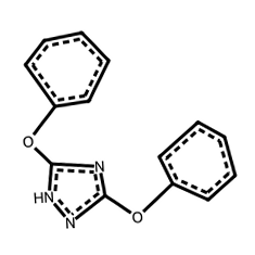 c1ccc(Oc2n[nH]c(Oc3ccccc3)n2)cc1